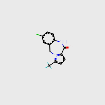 O=C1Nc2ccc(Cl)cc2Cn2c1ccc2C(F)(F)F